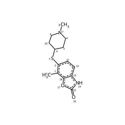 Cc1c(SC2CCN(C)CC2)ccc2[nH]c(=O)oc12